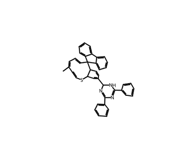 CC1=C/C=C/C2(c3ccccc3-c3ccccc32)C2C=CC(C3N=C(c4ccccc4)N=C(c4ccccc4)N3)=CC2S\C=C\1